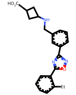 CCc1ccccc1-c1nc(-c2cccc(CNC3CC(C(=O)O)C3)c2)no1